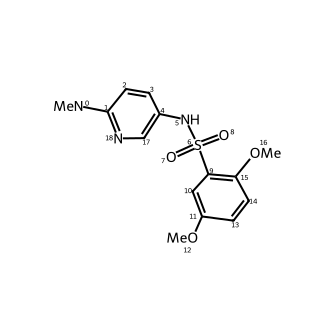 CNc1ccc(NS(=O)(=O)c2cc(OC)ccc2OC)cn1